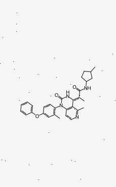 C/C(C(=O)NC1CCC(C)C1)=C1/NC(=O)N(c2ccc(Oc3ccccc3)cc2C)c2ccnc(C)c21